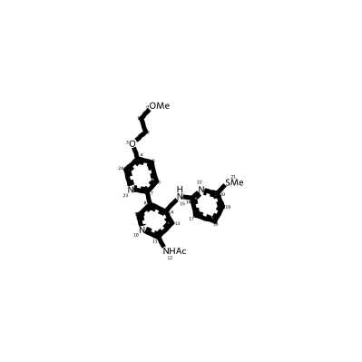 COCCOc1ccc(-c2cnc(NC(C)=O)cc2Nc2cccc(SC)n2)nc1